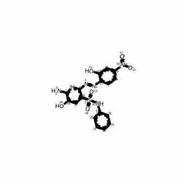 Nc1nc(N=Nc2ccc([N+](=O)[O-])cc2O)c(S(=O)(=O)Nc2ccccc2)cc1O